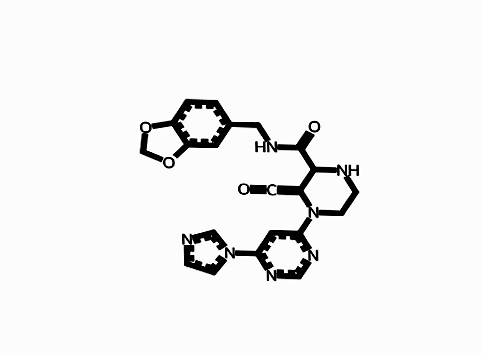 O=C=C1C(C(=O)NCc2ccc3c(c2)OCO3)NCCN1c1cc(-n2ccnc2)ncn1